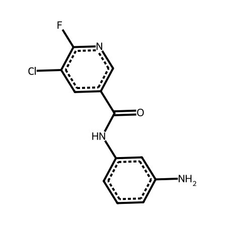 Nc1cccc(NC(=O)c2cnc(F)c(Cl)c2)c1